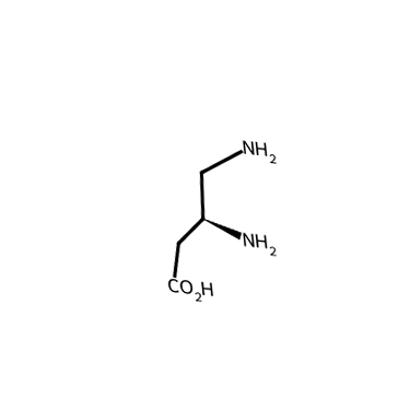 NC[C@@H](N)CC(=O)O